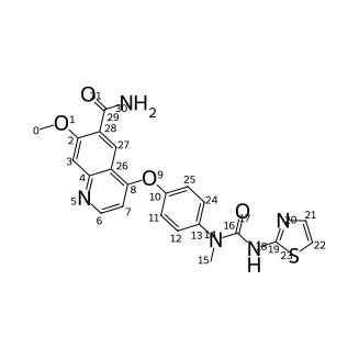 COc1cc2nccc(Oc3ccc(N(C)C(=O)Nc4nccs4)cc3)c2cc1C(N)=O